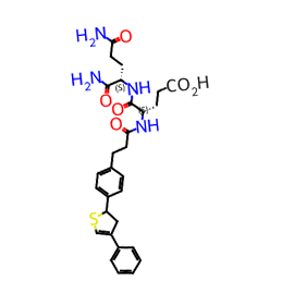 NC(=O)CC[C@H](NC(=O)[C@H](CCC(=O)O)NC(=O)CCc1ccc(C2CC(c3ccccc3)=CS2)cc1)C(N)=O